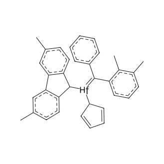 Cc1ccc2c(c1)-c1cc(C)ccc1[CH]2[Hf](=[C](c1ccccc1)c1cccc(C)c1C)[CH]1C=CC=C1